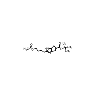 CC(=O)OCCCSc1nc2c([nH]1)CN(C(=O)OC(C)(C)C)C2